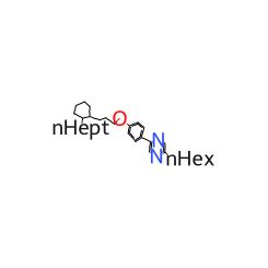 CCCCCCCC1CCCCC1CCCOc1ccc(-c2cnc(CCCCCC)cn2)cc1